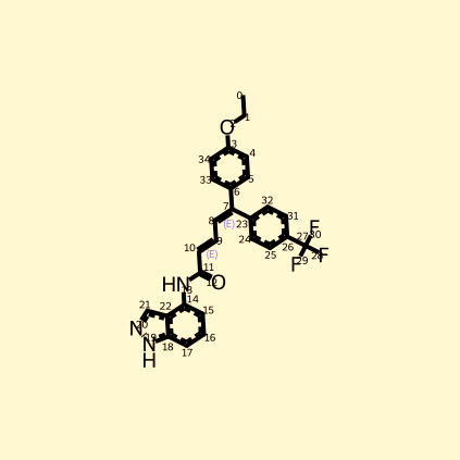 CCOc1ccc(/C(=C/C=C/C(=O)Nc2cccc3[nH]ncc23)c2ccc(C(F)(F)F)cc2)cc1